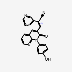 N#C/C(=C/c1cc2cccnc2n(-c2ccc(O)cc2)c1=O)c1cccnc1